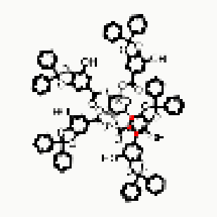 O=C(OC[C@H]1O[C@@H](OC(=O)c2cc(O)c3c(c2)OC(c2ccccc2)(c2ccccc2)O3)[C@H](OC(=O)c2cc(O)c3c(c2)OC(c2ccccc2)(c2ccccc2)O3)[C@@H](OC(=O)c2cc(O)c3c(c2)OC(c2ccccc2)(c2ccccc2)O3)[C@@H]1OC(=O)c1cc(O)c2c(c1)OC(c1ccccc1)(c1ccccc1)O2)c1cc(O)c2c(c1)OC(c1ccccc1)(c1ccccc1)O2